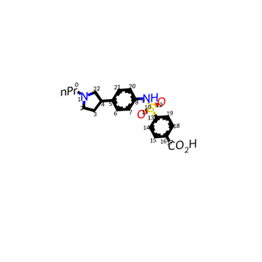 CCCN1CCC(c2ccc(NS(=O)(=O)c3ccc(C(=O)O)cc3)cc2)C1